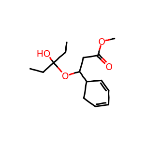 CCC(O)(CC)OC(CC(=O)OC)C1C=CC=CC1